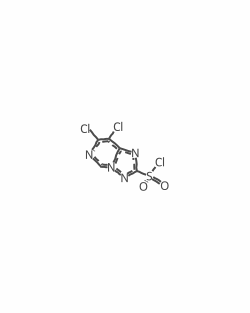 O=S(=O)(Cl)c1nc2c(Cl)c(Cl)ncn2n1